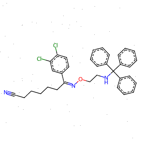 N#CCCCCCC(=NOCCNC(c1ccccc1)(c1ccccc1)c1ccccc1)c1ccc(Cl)c(Cl)c1